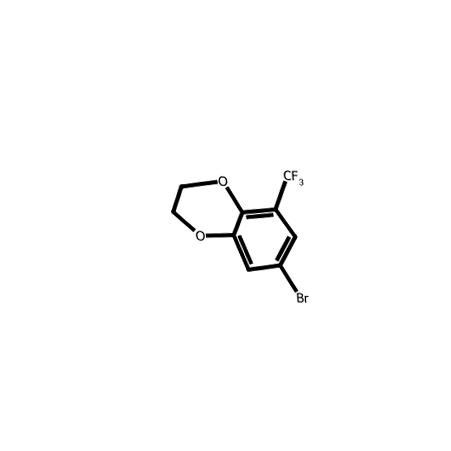 FC(F)(F)c1cc(Br)cc2c1OCCO2